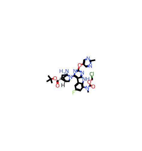 Cc1ncc(Oc2nc(N3C[C@@H]4C[C@]3(N)C[C@H]4C(=O)OC(C)(C)C)c3c(n2)[nH]c2c(N(C)C(=O)OCCl)cc(F)cc23)cn1